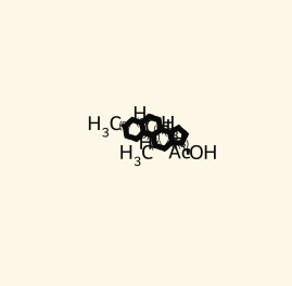 CC(=O)[C@]12C[C@H](C)[C@H]3[C@@H](CC[C@H]4C[C@H](C)CC[C@@]43C)[C@@H]1CC[C@@H]2CO